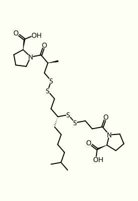 CC(C)CCCC[C@H](CCSSC[C@H](C)C(=O)N1CCC[C@H]1C(=O)O)SSCCC(=O)N1CCC[C@H]1C(=O)O